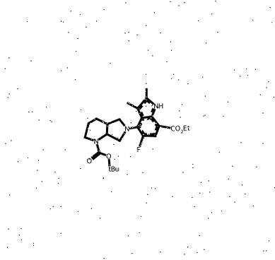 CCOC(=O)c1cc(F)c(N2CC3CCCN(C(=O)OC(C)(C)C)C3C2)c2c(C)c(C)[nH]c12